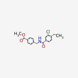 CCc1ccc(C(=O)NCc2ccc(C(=O)OC)cc2)cc1Cl